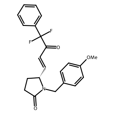 COc1ccc(CN2C(=O)CC[C@@H]2C=CC(=O)C(F)(F)c2ccccc2)cc1